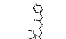 CO[SiH](OC)C(C)CCOC(=O)Cc1ccncc1